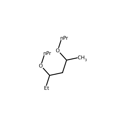 [CH2]CC(CC(C)OCCC)OCCC